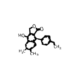 C=Cc1ccc(-c2c3c(c(O)c4cc(C)c(C)cc24)COC3=O)cc1